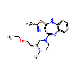 CCOCC[C@H]1CN(C2=Nc3ccccc3Nc3sc(C)nc32)CCN1C